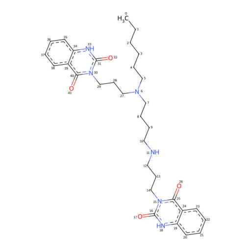 CCCCCCN(CCCCNCCCn1c(=O)[nH]c2ccccc2c1=O)CCCn1c(=O)[nH]c2ccccc2c1=O